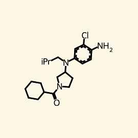 CC(C)CN(c1ccc(N)c(Cl)c1)C1CCN(C(=O)C2CCCCC2)C1